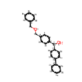 OB(c1ccc(COCc2ccccc2)cc1)c1ccc(-c2ccccc2)cc1